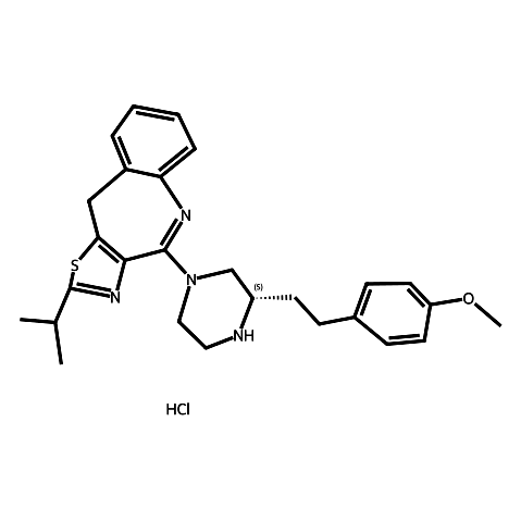 COc1ccc(CC[C@H]2CN(C3=Nc4ccccc4Cc4sc(C(C)C)nc43)CCN2)cc1.Cl